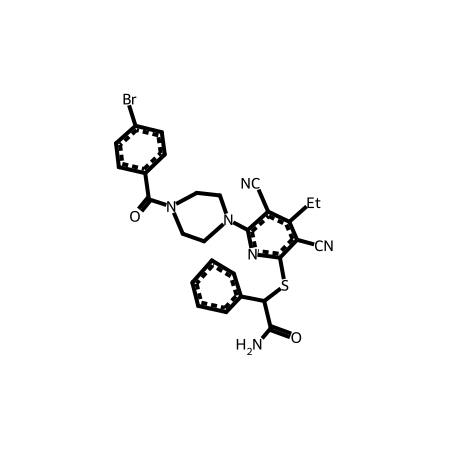 CCc1c(C#N)c(SC(C(N)=O)c2ccccc2)nc(N2CCN(C(=O)c3ccc(Br)cc3)CC2)c1C#N